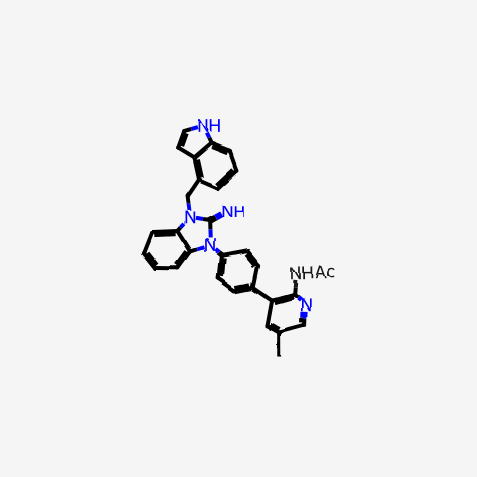 CC(=O)Nc1ncc(C)cc1-c1ccc(-n2c(=N)n(Cc3cccc4[nH]ccc34)c3ccccc32)cc1